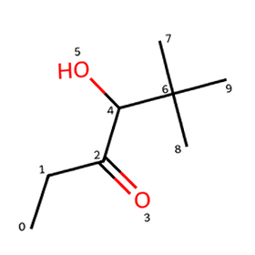 CCC(=O)C(O)C(C)(C)C